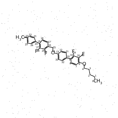 CCCCCOc1ccc(-c2ccc(OCc3ccc(-c4ccc(C)cc4)c(F)c3F)cc2)c(F)c1F